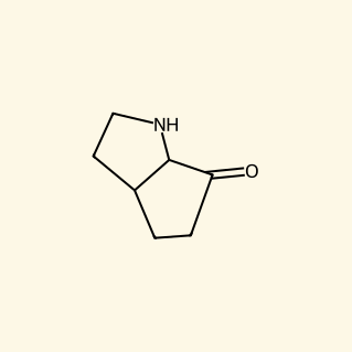 O=C1CCC2CCNC12